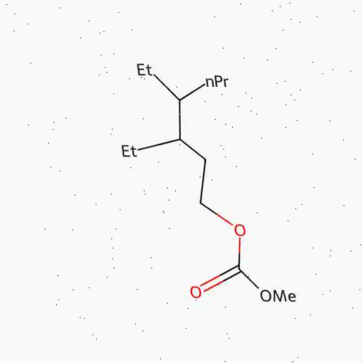 CCCC(CC)C(CC)CCOC(=O)OC